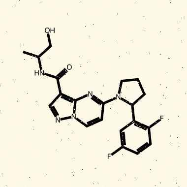 CC(CO)NC(=O)c1cnn2ccc(N3CCCC3c3cc(F)ccc3F)nc12